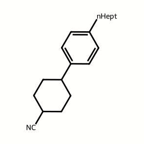 CCCCCCCc1ccc(C2CCC(C#N)CC2)cc1